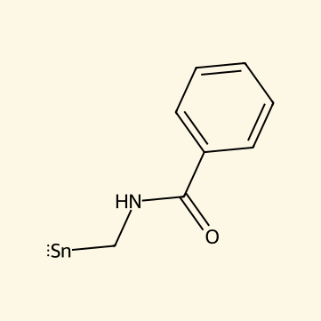 O=C(N[CH2][Sn])c1ccccc1